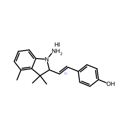 Cc1cccc2c1C(C)(C)C(/C=C/c1ccc(O)cc1)N2N.I